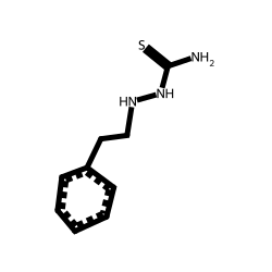 NC(=S)NNCCc1ccccc1